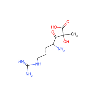 CC(O)(C(=O)O)C(=O)C(N)CCCNC(=N)N